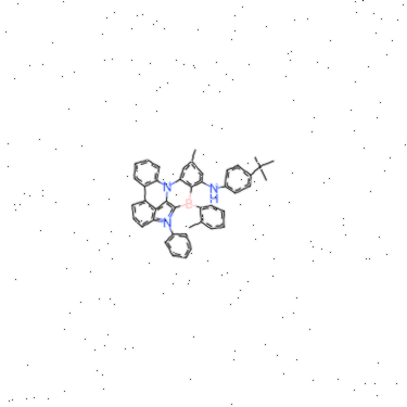 Cc1cc(Nc2ccc(C(C)(C)C)cc2)c2c(c1)N1c3ccccc3-c3cccc4c3c1c(n4-c1ccccc1)B2c1ccccc1C